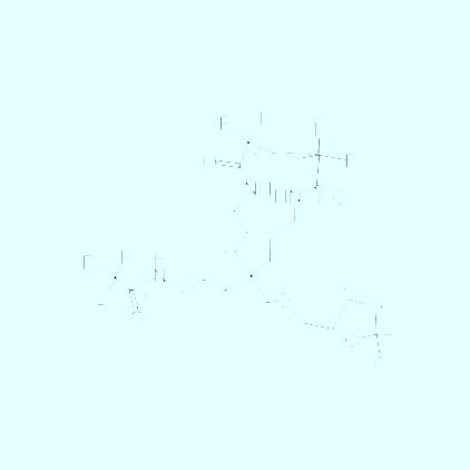 CC1(C)OCC(COCC(CCCNC(=O)C(F)(F)F)(CCCNC(=O)C(F)(F)F)CCCNC(=O)C(F)(F)F)O1